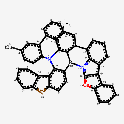 Cc1cc2c3c(c1)N(c1ccc(C(C)(C)C)cc1-c1ccccc1)c1c(ccc4sc5ccccc5c14)B3n1c3oc4ccccc4c3c3cccc-2c31